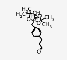 CC(C)(C)OP(=O)(Cc1ccc(CCC=O)cc1)OC(C)(C)C